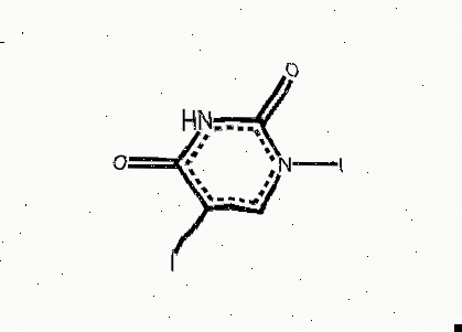 O=c1[nH]c(=O)n(I)cc1I